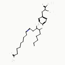 CCCCCC(Oc1ccc(CC(N)C(=O)O)cc1)C(O)C/C=C\CCCCCCCC(=O)OC